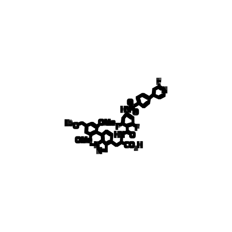 CCOCc1cc(OC)c(-c2ccc(CC(NC(=O)c3c(F)cc(NS(=O)(=O)c4ccc(-c5ccnc(F)c5)cc4)cc3F)C(=O)O)c3cnn(C)c23)c(OC)c1